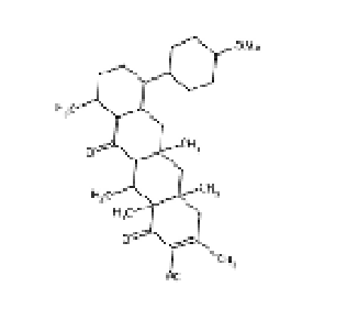 COC1CCC(C2CCC(C)C3C(=O)C4C(C)C5(C)C(=O)C(C(C)=O)=C(C)CC5(C)CC4(C)CC23)CC1